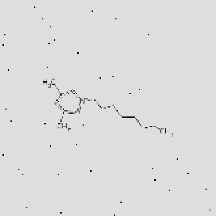 CCCCCCCC[n+]1cc(C)cc(C)c1